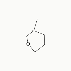 C[C]1CCCOC1